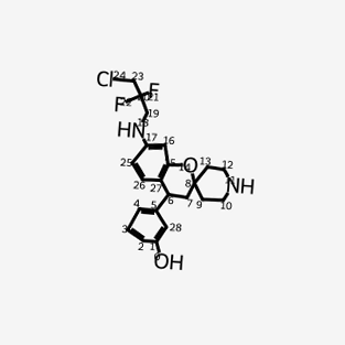 Oc1cccc(C2CC3(CCNCC3)Oc3cc(NCC(F)(F)CCl)ccc32)c1